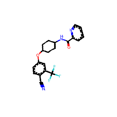 N#Cc1ccc(OC2CCC(NC(=O)c3ccccn3)CC2)cc1C(F)(F)F